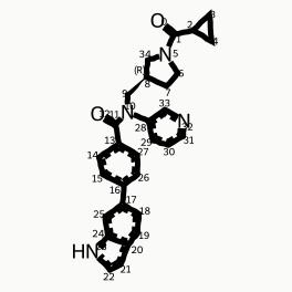 O=C(C1CC1)N1CC[C@@H](CN(C(=O)c2ccc(-c3ccc4cc[nH]c4c3)cc2)c2cccnc2)C1